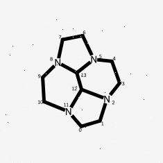 C1CN2CCN3CCN4CCN1C2C43